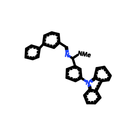 CNC(/N=C/c1cccc(-c2ccccc2)c1)c1cccc(-n2c3ccccc3c3ccccc32)c1